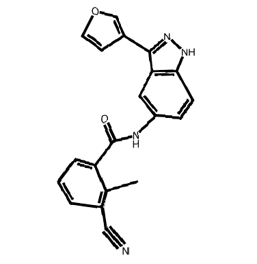 Cc1c(C#N)cccc1C(=O)Nc1ccc2[nH]nc(-c3ccoc3)c2c1